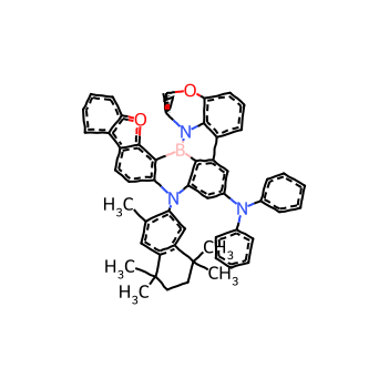 Cc1cc2c(cc1N1c3cc(N(c4ccccc4)c4ccccc4)cc4c3B(c3c1ccc1c3oc3ccccc31)N1c3ccccc3Oc3cccc-4c31)C(C)(C)CCC2(C)C